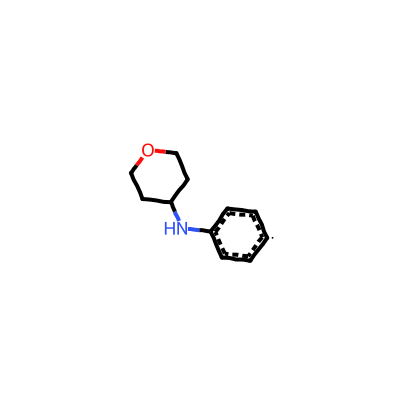 [c]1ccc(NC2CCOCC2)cc1